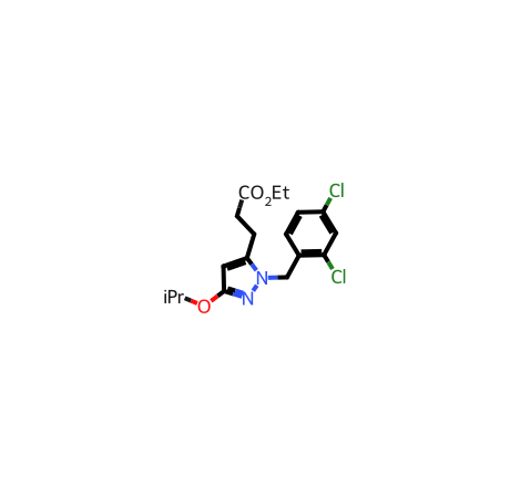 CCOC(=O)CCc1cc(OC(C)C)nn1Cc1ccc(Cl)cc1Cl